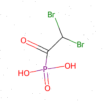 O=C(C(Br)Br)P(=O)(O)O